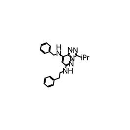 CC(C)c1nnc2c(NCc3ccccc3)cc(NCCc3ccccc3)nn12